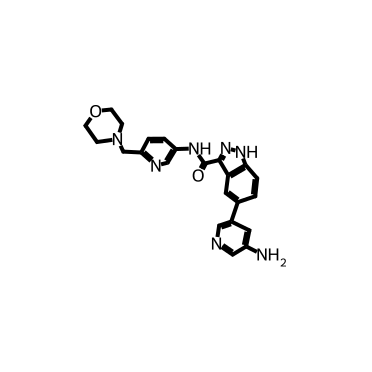 Nc1cncc(-c2ccc3[nH]nc(C(=O)Nc4ccc(CN5CCOCC5)nc4)c3c2)c1